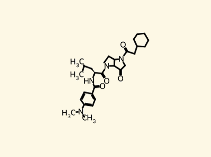 CC(C)C[C@H](NC(=O)c1ccc(N(C)C)cc1)C(=O)N1CCC2C1C(=O)CN2C(=O)CC1CCCCC1